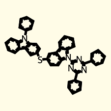 c1ccc(-c2nc(-c3ccccc3)nc(-n3c4ccccc4c4cc(Sc5ccc6c(c5)c5ccccc5n6-c5ccccc5)ccc43)n2)cc1